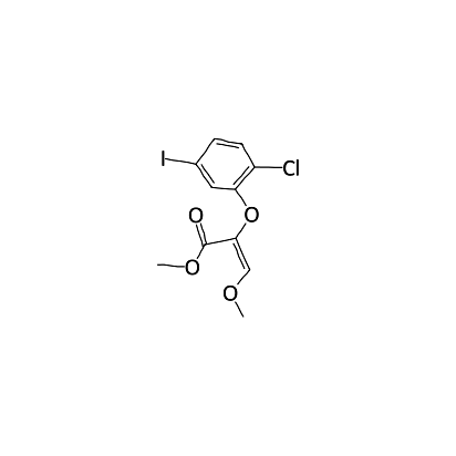 COC=C(Oc1cc(I)ccc1Cl)C(=O)OC